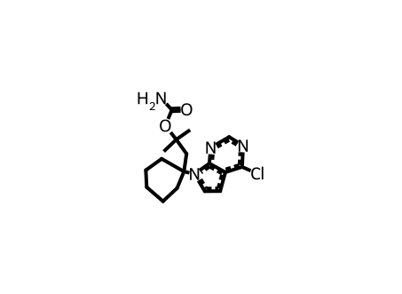 CC(C)(CC1(n2ccc3c(Cl)ncnc32)CCCCC1)OC(N)=O